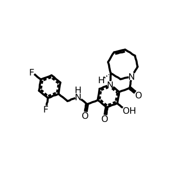 O=C(NCc1ccc(F)cc1F)c1cn2c(c(O)c1=O)C(=O)N1CC/C=C\C[C@H]2C1